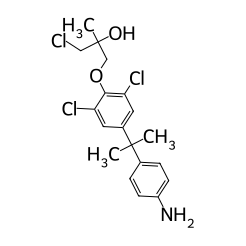 CC(O)(CCl)COc1c(Cl)cc(C(C)(C)c2ccc(N)cc2)cc1Cl